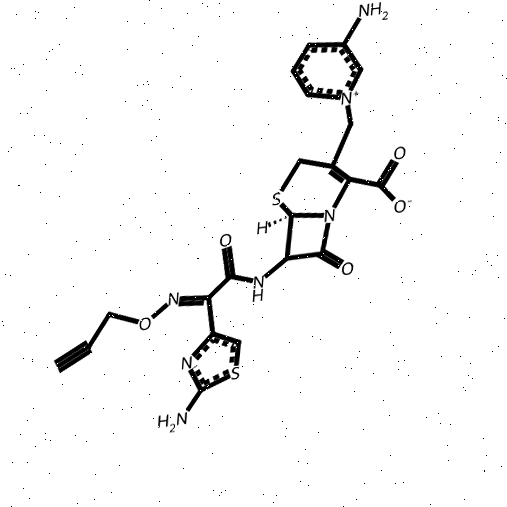 C#CCO/N=C(/C(=O)NC1C(=O)N2C(C(=O)[O-])=C(C[n+]3cccc(N)c3)CS[C@H]12)c1csc(N)n1